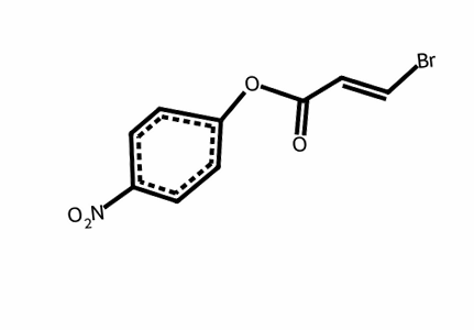 O=C(C=CBr)Oc1ccc([N+](=O)[O-])cc1